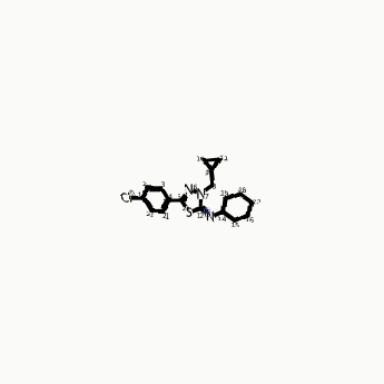 Clc1ccc(-c2nn(CC3CC3)/c(=N\C3CCCCC3)s2)cc1